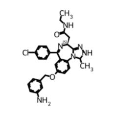 CCNC(=O)C[C@@H]1N=C(c2ccc(Cl)cc2)c2cc(OCc3cccc(N)c3)ccc2N2C1=NNC2C